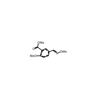 CON=Cc1ccc(OC)c(C(=O)OC)c1